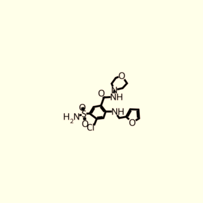 NS(=O)(=O)c1cc(C(=O)NN2CCOCC2)c(NCc2ccco2)cc1Cl